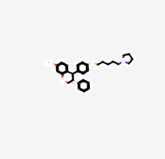 Oc1ccc2c(c1)OC[C@H](c1ccccc1)C2c1ccc(SCCCCCN2CCCC2)cc1